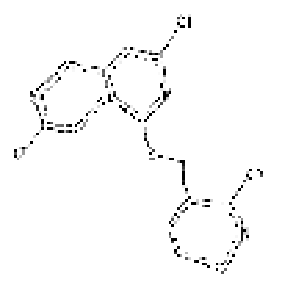 N#Cc1ncccc1CSc1nc(O)cc2ccc(Cl)cc12